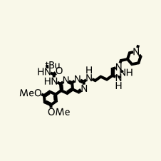 COc1cc(OC)cc(-c2cc3cnc(NCCCC4=CN(CC5CCCN(C)C5)NN4)nc3nc2NC(=O)NC(C)(C)C)c1